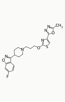 Cc1nnc(-c2csc(OCCCN3CCC(c4noc5cc(F)ccc45)CC3)n2)o1